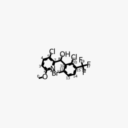 COc1ccc(Cl)c(C(O)c2c(Br)ccc(C(F)(F)F)c2Cl)n1